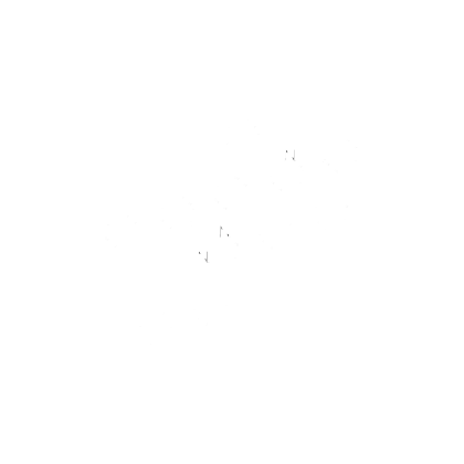 c1ccc(-c2cccc(-c3cc(-c4cccc(-c5c(-c6ccccc6)c(-c6ccccc6)nc(-c6ccccc6)c5-c5ccccc5)c4)nc(-c4cccc(-c5ccccc5)c4)n3)c2)cc1